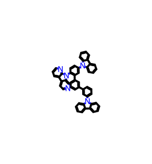 c1cc(-c2cccc(-n3c4ccccc4c4ccccc43)c2)cc(-c2cc(-n3c4ccccc4c4ccccc43)ccc2-n2c3cnccc3c3cccnc32)c1